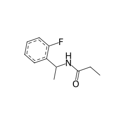 CCC(=O)NC(C)c1ccccc1F